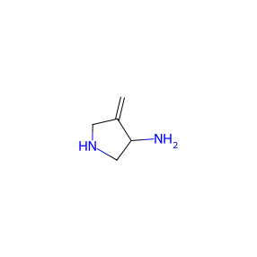 C=C1CNCC1N